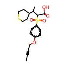 CC#CCOc1ccc(S(=O)(=O)C(C(=O)O)C(C)C2CCSCC2)cc1